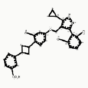 O=C(O)c1cccc(C2CC(c3ccc(OCc4c(-c5c(Cl)cccc5Cl)noc4C4CC4)cc3Cl)C2)c1